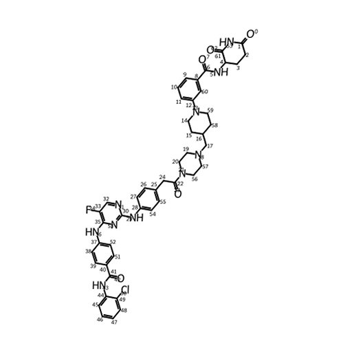 O=C1CCC(NC(=O)c2cccc(N3CCC(CN4CCN(C(=O)Cc5ccc(Nc6ncc(F)c(Nc7ccc(C(=O)Nc8ccccc8Cl)cc7)n6)cc5)CC4)CC3)c2)C(=O)N1